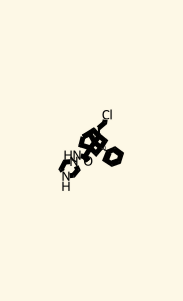 O=C(NN1CCNCC1)C12CC3CC14[C@](CCCl)(C3)C[C@@]4(c1ccccc1)C2